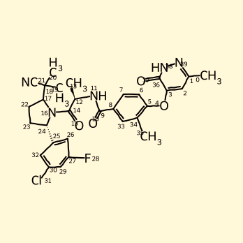 Cc1cc(Oc2ccc(C(=O)N[C@H](C)C(=O)N3C(C(C)(C)C#N)CC[C@H]3c3cc(F)cc(Cl)c3)cc2C)c(=O)[nH]n1